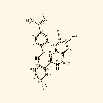 C/C=C(\N)c1ccc(CNc2ncc(C#N)nc2C(=O)N[C@@H](C)c2ccc(F)c(F)c2)cc1